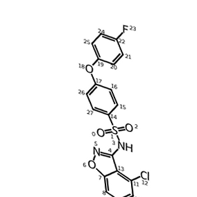 O=S(=O)(Nc1noc2cccc(Cl)c12)c1ccc(Oc2ccc(F)cc2)cc1